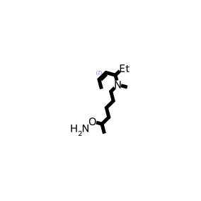 C/C=C\C(CC)N(C)CCCCC(C)ON